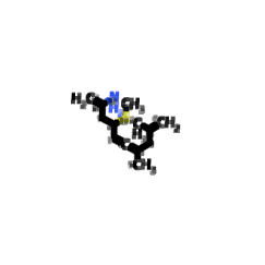 C=C(C)CC(C)=C=CC(CC(=C)N)SC